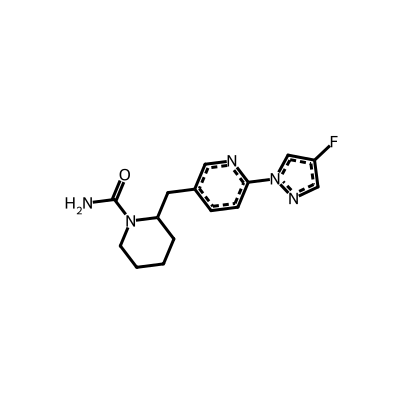 NC(=O)N1CCCCC1Cc1ccc(-n2cc(F)cn2)nc1